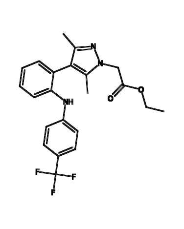 CCOC(=O)Cn1nc(C)c(-c2ccccc2Nc2ccc(C(F)(F)F)cc2)c1C